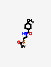 CC1CCC(C(=O)NCCSC(=O)C(C)C)CC1